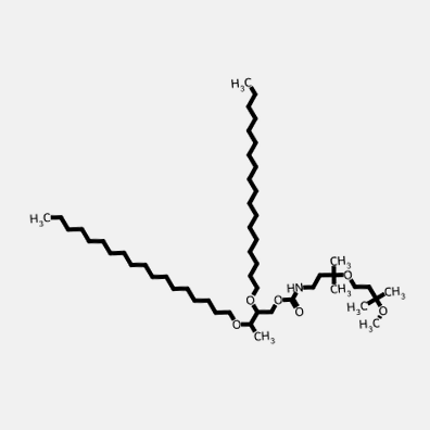 CCCCCCCCCCCCCCCCCCOC(C)C(COC(=O)NCCC(C)(C)OCCC(C)(C)OC)OCCCCCCCCCCCCCCCCCC